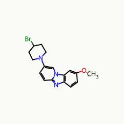 COc1ccc2nc3ccc(N4CCC(Br)CC4)cn3c2c1